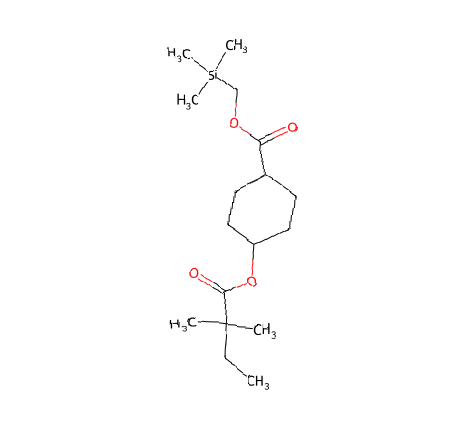 CCC(C)(C)C(=O)OC1CCC(C(=O)OC[Si](C)(C)C)CC1